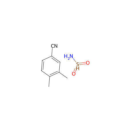 Cc1ccc(C#N)cc1C.N[SH](=O)=O